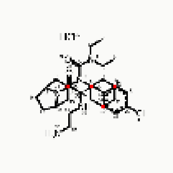 CCN(CC)C(=O)N(C1CCCCC1)C1CC2CCC(C1)N2C(=O)[C@@H](Cc1ccc(Cl)cc1)NCCN.Cl